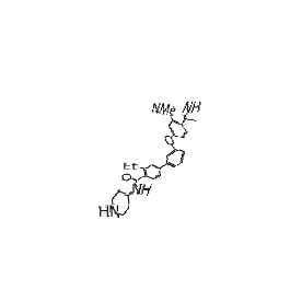 CCc1cc(-c2cccc(Oc3ccc(C(C)=N)c(NC)c3)c2)ccc1C(=O)NC1CCNCC1